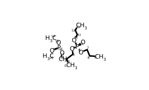 CCCOP(=O)(OCCC)OCCC.COP(OC)OC